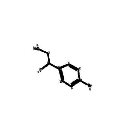 OCC(F)c1ccc(Br)cc1